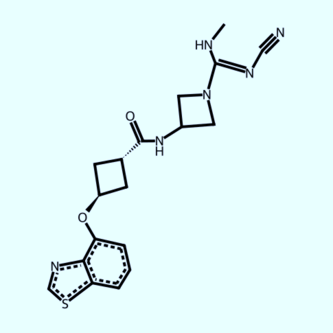 CN/C(=N\C#N)N1CC(NC(=O)[C@H]2C[C@H](Oc3cccc4scnc34)C2)C1